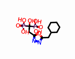 O=P(O)(O)C(O)(Cc1nnc(CC2CCCCC2)o1)P(=O)(O)O